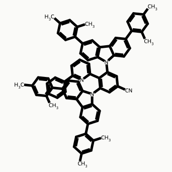 Cc1ccc(-c2ccc3c(c2)c2cc(-c4ccc(C)cc4C)ccc2n3-c2cc(C#N)cc(-n3c4ccc(-c5ccc(C)cc5C)cc4c4cc(-c5ccc(C)cc5C)ccc43)c2-c2cccc(-c3ccccc3)n2)c(C)c1